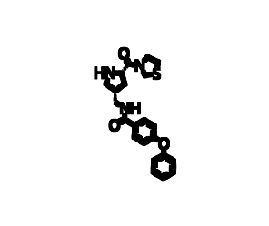 O=C(NC[C@@H]1CN[C@H](C(=O)N2CCSC2)C1)c1ccc(Oc2ccccc2)cc1